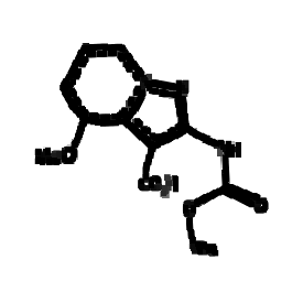 COc1cccn2nc(NC(=O)OC(C)(C)C)c(C(=O)O)c12